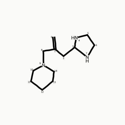 C=C(CC1NCCN1)CN1CCCCC1